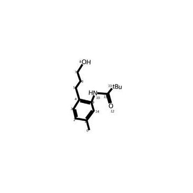 Cc1ccc(CCCO)c(NC(=O)C(C)(C)C)c1